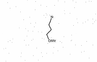 COCCC[N]